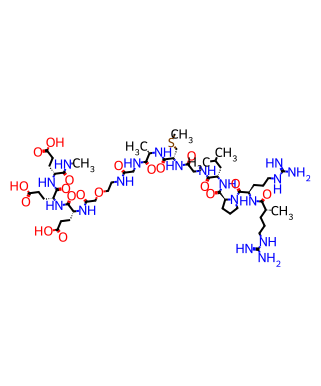 CNC(=O)[C@@H](CCC(=O)O)NC(=O)[C@@H](CCC(=O)O)NC(=O)[C@@H](CCC(=O)O)NC(=O)COCCNC(=O)CNC(=O)[C@H](C)NC(=O)[C@H](CSC)NC(=O)CNC(=O)[C@H](CC(C)C)NC(=O)[C@@H]1CCCN1C(=O)[C@@H](CCCNC(=N)N)NC(=O)[C@H](C)CCCNC(=N)N